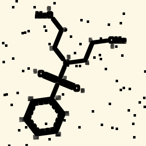 COCCN(CCOC)S(=O)(=O)c1[c]cccc1